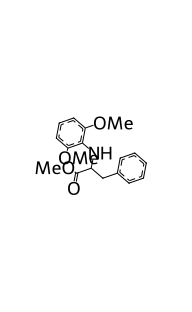 COC(=O)C(Cc1ccccc1)Nc1c(OC)cccc1OC